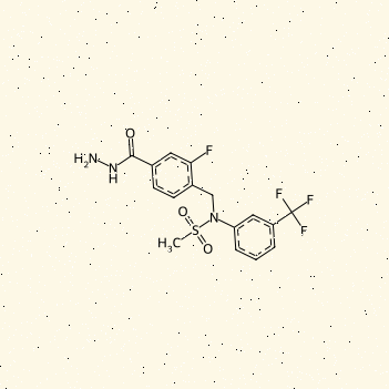 CS(=O)(=O)N(Cc1ccc(C(=O)NN)cc1F)c1cccc(C(F)(F)F)c1